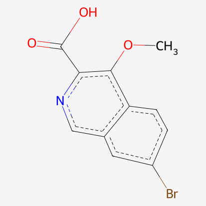 COc1c(C(=O)O)ncc2cc(Br)ccc12